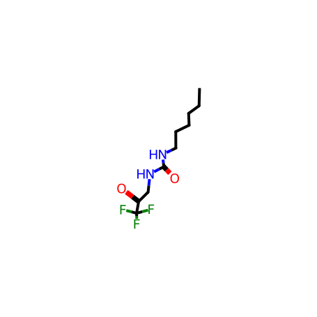 CCCCCCNC(=O)NCC(=O)C(F)(F)F